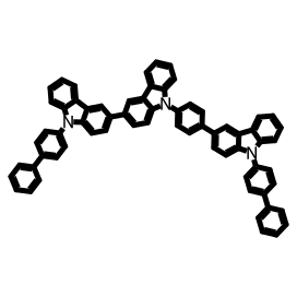 c1ccc(-c2ccc(-n3c4ccccc4c4cc(-c5ccc(-n6c7ccccc7c7cc(-c8ccc9c(c8)c8ccccc8n9-c8ccc(-c9ccccc9)cc8)ccc76)cc5)ccc43)cc2)cc1